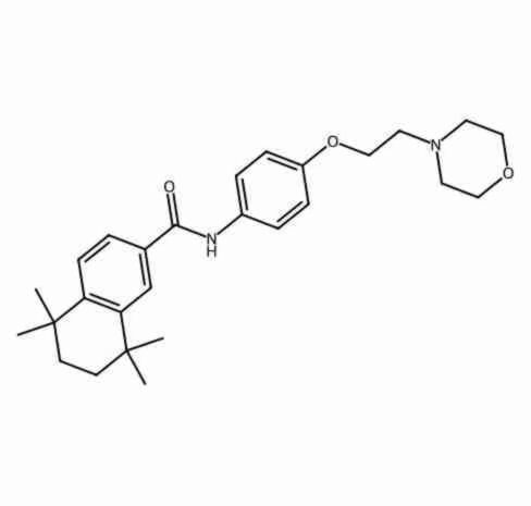 CC1(C)CCC(C)(C)c2cc(C(=O)Nc3ccc(OCCN4CCOCC4)cc3)ccc21